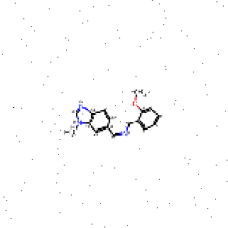 COc1ccccc1C/N=C\c1ccc2ncn(C)c2c1